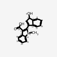 Cn1c(C2=CC(O)c3ccccc32)c(C(=O)O)c2ccccc21